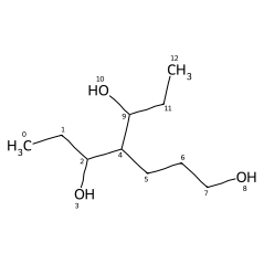 CCC(O)C(CCCO)C(O)CC